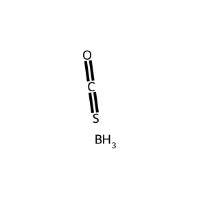 B.O=C=S